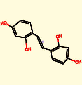 Oc1ccc(/C=C/c2ccc(O)cc2O)c(O)c1